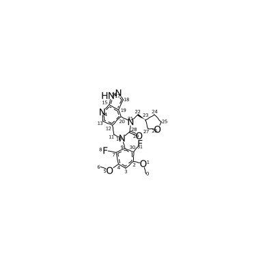 COc1cc(OC)c(F)c(N2Cc3cnc4[nH]ncc4c3N(C[C@H]3CCOC3)C2=O)c1F